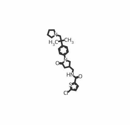 CC(C)(CN1CCCC1)c1ccc(N2CC(CNC(=O)c3ccc(Cl)s3)CC2=O)cc1